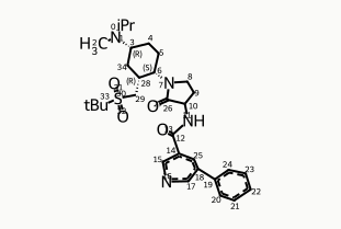 CC(C)N(C)[C@@H]1CC[C@H](N2CCC(NC(=O)c3cncc(-c4ccccc4)c3)C2=O)[C@H](CS(=O)(=O)C(C)(C)C)C1